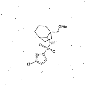 COCC12CCCC(CC1)C2NS(=O)(=O)c1ccc(Cl)s1